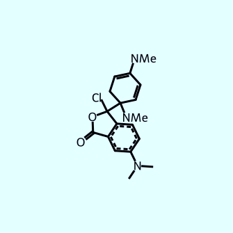 CNC1=CCC(NC)(C2(Cl)OC(=O)c3cc(N(C)C)ccc32)C=C1